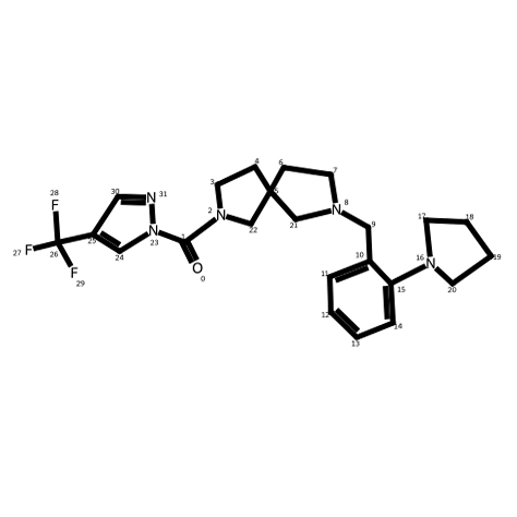 O=C(N1CCC2(CCN(Cc3ccccc3N3CCCC3)C2)C1)n1cc(C(F)(F)F)cn1